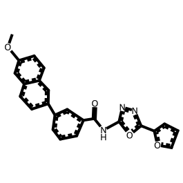 COc1ccc2cc(-c3cccc(C(=O)Nc4nnc(-c5ccco5)o4)c3)ccc2c1